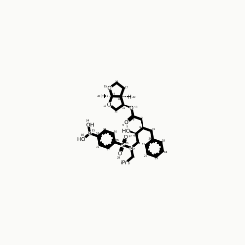 CC(C)CN(C[C@@H](O)[C@@H](CC(=O)O[C@H]1CO[C@H]2OCC[C@H]21)Cc1ccccc1)S(=O)(=O)c1ccc(B(O)O)cc1